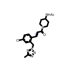 CC(=O)NC1CCN(C(=O)/C=C/c2ccc(Cl)cc2Cn2nnc(C)n2)CC1